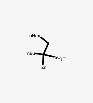 CCCCCCC[C]([Zn])(CCCC)S(=O)(=O)O